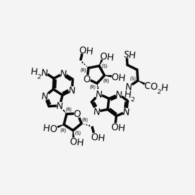 N[C@@H](CCS)C(=O)O.Nc1ncnc2c1ncn2[C@@H]1O[C@H](CO)[C@@H](O)[C@H]1O.OC[C@H]1O[C@@H](n2cnc3c(O)ncnc32)[C@H](O)[C@@H]1O